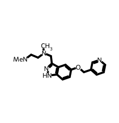 CNCCN(C)Cc1n[nH]c2ccc(OCc3cccnc3)cc12